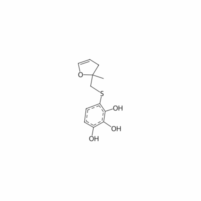 CC1(CSc2ccc(O)c(O)c2O)CC=CO1